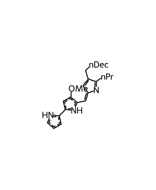 CCCCCCCCCCCC1=CC(=Cc2[nH]c(-c3ccc[nH]3)cc2OC)N=C1CCC